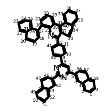 c1ccc2cc(-c3cc(-c4ccc(-c5nc6c(-c7cccc8ccccc78)cccc6c6c5ccc5ccccc56)cc4)nc(-c4ccc5ccccc5c4)n3)ccc2c1